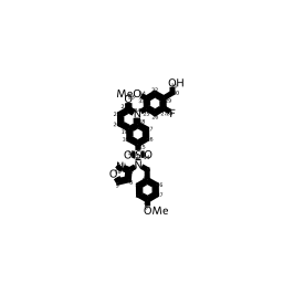 COc1ccc(CN(c2ccon2)S(=O)(=O)c2ccc3c(ccc(=O)n3-c3cc(F)c(CO)cc3OC)c2)cc1